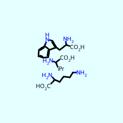 CC(C)C(N)C(=O)O.NC(Cc1c[nH]c2ccccc12)C(=O)O.NCCCCC(N)C(=O)O